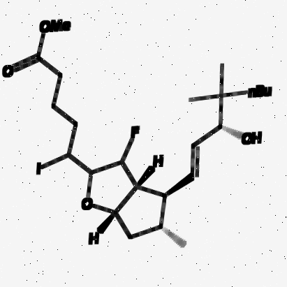 CCCCC(C)(C)[C@H](O)C=C[C@@H]1[C@H]2C(F)C(C(I)CCCC(=O)OC)O[C@H]2C[C@H]1C